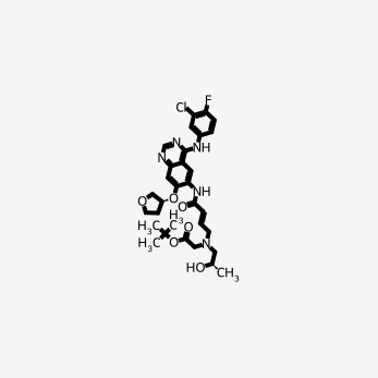 C[C@H](O)CN(C/C=C/C(=O)Nc1cc2c(Nc3ccc(F)c(Cl)c3)ncnc2cc1O[C@@H]1CCOC1)CC(=O)OC(C)(C)C